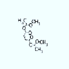 COC(C)OC(=O)/C=C\C(=O)OC(C)OC